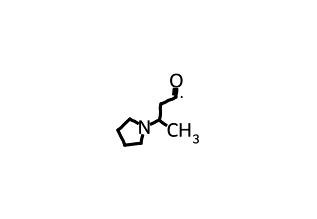 CC(C[C]=O)N1CCCC1